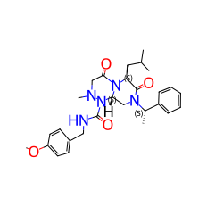 COc1ccc(CNC(=O)N2[C@H]3CN([C@@H](C)c4ccccc4)C(=O)[C@H](CC(C)C)N3C(=O)CN2C)cc1